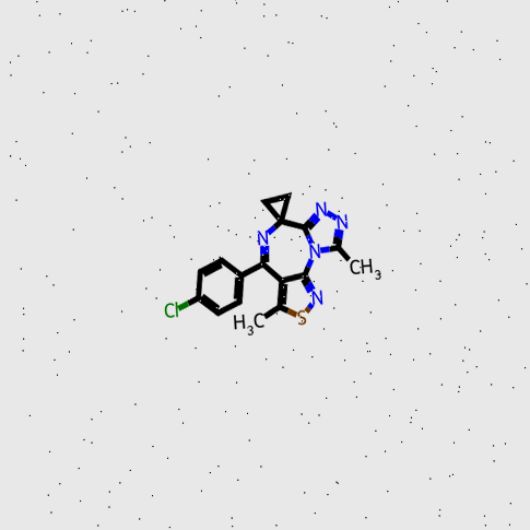 Cc1snc2c1C(c1ccc(Cl)cc1)=NC1(CC1)c1nnc(C)n1-2